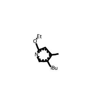 CCOc1cc(C)c(C(C)CC)cn1